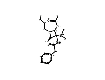 CCCCN1C(=O)[C@@](NC(=O)Cc2ccccc2)([SiH](C)C)[C@@H]1OC(C)=O